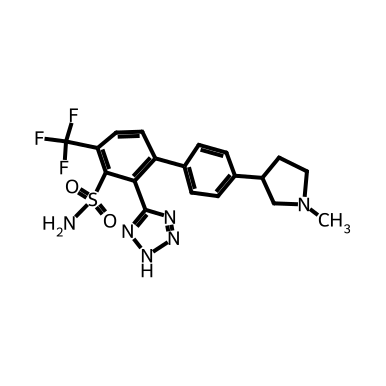 CN1CCC(c2ccc(-c3ccc(C(F)(F)F)c(S(N)(=O)=O)c3-c3nn[nH]n3)cc2)C1